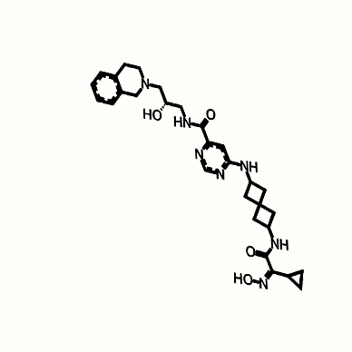 O=C(NC1CC2(C1)CC(Nc1cc(C(=O)NC[C@H](O)CN3CCc4ccccc4C3)ncn1)C2)/C(=N\O)C1CC1